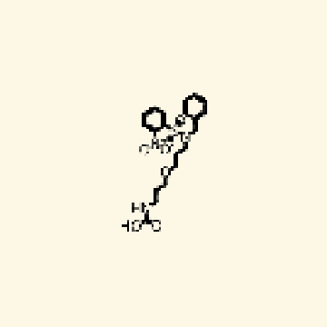 O=C(O)NCCCOCCCN(Cc1ccccc1)S(=O)(=O)c1ccccc1[N+](=O)[O-]